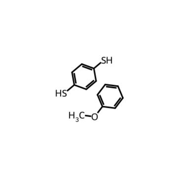 COc1ccccc1.Sc1ccc(S)cc1